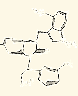 Cc1cccc(C(CC(=O)O)n2c(=O)n(Cc3cn(C)c4cccc(C)c34)c3ccccc32)c1